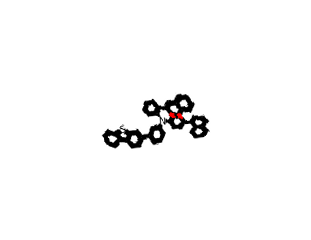 c1cc(-c2ccc3c(c2)sc2ccccc23)cc(N(c2ccc(-c3cccc4ccccc34)cc2)c2ccccc2-c2ccc3ccccc3c2)c1